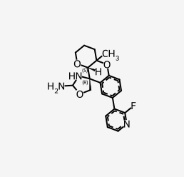 CC12CCCO[C@H]1[C@]1(COC(N)N1)c1cc(-c3cccnc3F)ccc1O2